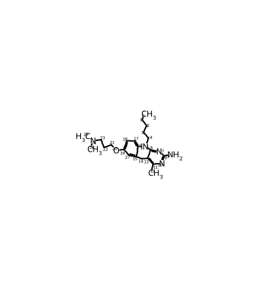 CCCCCNc1nc(N)nc(C)c1Cc1cccc(OCCCN(C)C)c1